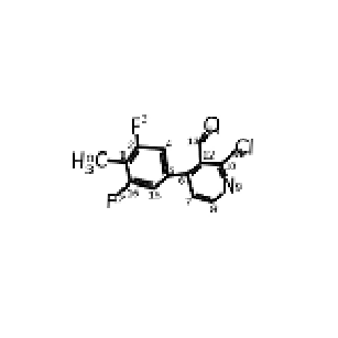 Cc1c(F)cc(-c2ccnc(Cl)c2C=O)cc1F